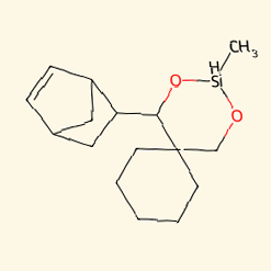 C[SiH]1OCC2(CCCCC2)C(C2CC3C=CC2C3)O1